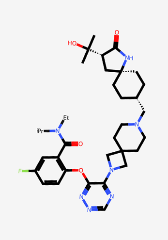 CCN(C(=O)c1cc(F)ccc1Oc1nncnc1N1CC2(CCN(C[C@H]3CC[C@]4(CC3)C[C@H](C(C)(C)O)C(=O)N4)CC2)C1)C(C)C